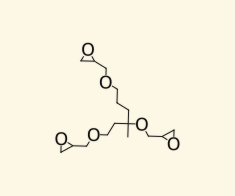 CC(CCCOCC1CO1)(CCOCC1CO1)OCC1CO1